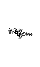 COCN1CCSC(=Cc2cc(C(C)C)c(OC(C)=O)c(C(C)C)c2)C1=O